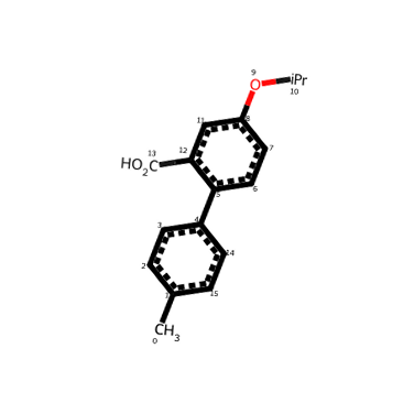 Cc1ccc(-c2ccc(OC(C)C)cc2C(=O)O)cc1